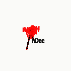 CC#CC#CC#CC#CC#CC#CC#CC(=O)OC[C@H](COP(=O)(O)OC1C(O)[C@@H](OP(=O)(O)O)C(O)[C@@H](OP(=O)(O)O)[C@H]1O)OC(=O)CCCCCCCCCCCCCCC